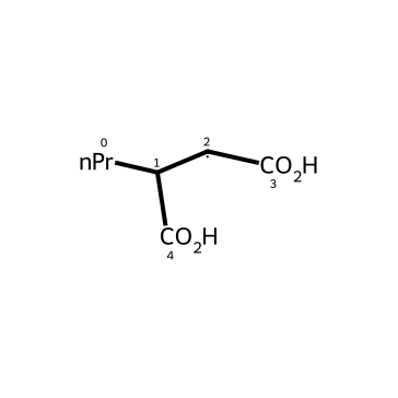 CCCC([CH]C(=O)O)C(=O)O